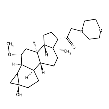 CO[C@@H]1C[C@@H]2[C@H](CC[C@]3(C)[C@@H](C(=O)CN4CCOCC4)CC[C@@H]23)[C@H]2CC[C@]3(O)CC3[C@H]21